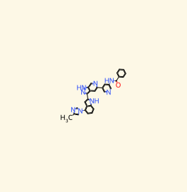 Cc1cn(-c2cccc3[nH]c(-c4n[nH]c5cnc(-c6cncc(NC(=O)c7ccccc7)c6)cc45)cc23)cn1